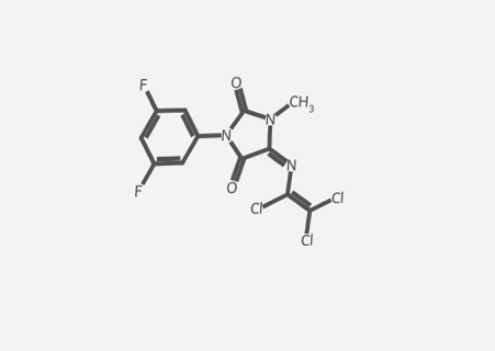 CN1C(=O)N(c2cc(F)cc(F)c2)C(=O)C1=NC(Cl)=C(Cl)Cl